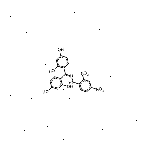 O=[N+]([O-])c1ccc(NN=C(c2ccc(O)cc2O)c2ccc(O)cc2O)c([N+](=O)[O-])c1